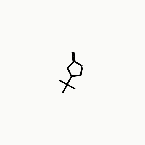 C=C1CC(C(C)(C)C)CN1